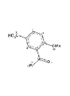 CCCC(=O)c1cc(C(=O)O)ccc1OC